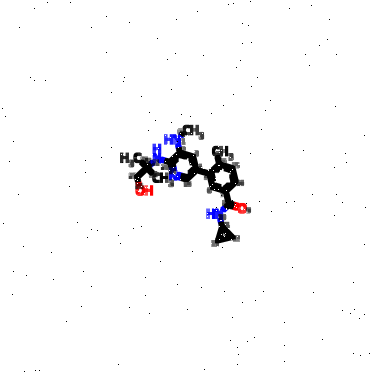 CNc1cc(-c2cc(C(=O)NC3CC3)ccc2C)cnc1NC(C)(C)CO